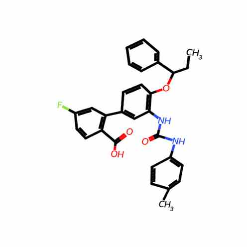 CCC(Oc1ccc(-c2cc(F)ccc2C(=O)O)cc1NC(=O)Nc1ccc(C)cc1)c1ccccc1